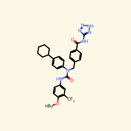 CCCCOc1ccc(NC(=O)N(Cc2ccc(C(=O)Nc3nn[nH]n3)cc2)c2ccc(C3CCCCC3)cc2)cc1C(F)(F)F